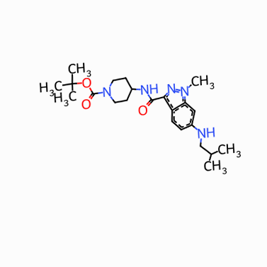 CC(C)CNc1ccc2c(C(=O)NC3CCN(C(=O)OC(C)(C)C)CC3)nn(C)c2c1